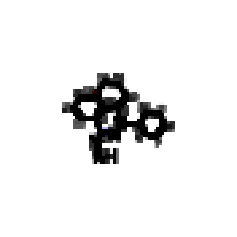 N=N/C(=N/N(c1ccccc1)c1ccccc1)c1ccccc1